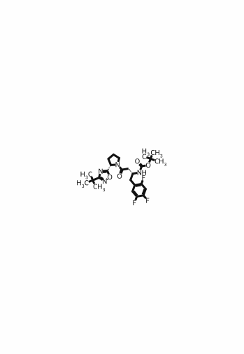 CC(C)(C)OC(=O)N[C@@H](CC(=O)N1CCC[C@H]1c1nc(C(C)(C)C)no1)Cc1cc(F)c(F)cc1F